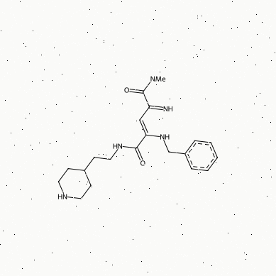 CNC(=O)C(=N)/C=C(\NCc1ccccc1)C(=O)NCCC1CCNCC1